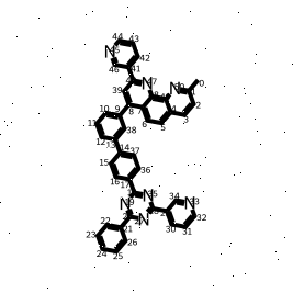 Cc1ccc2ccc3c(-c4cccc(-c5ccc(-c6nc(-c7ccccc7)nc(-c7cccnc7)n6)cc5)c4)cc(-c4cccnc4)nc3c2n1